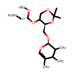 CCCCO[C@@H](CNC(C)=O)OC1COC(C)(C)O[C@H]1CO[C@@H]1OC=C(OC(C)=O)C(OC(C)=O)C1OC(C)=O